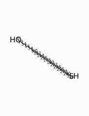 OCCCCCCCCCCCCCCCCCCCCCCCCCCCCCCCS